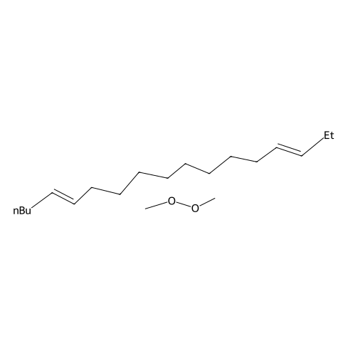 CC/C=C/CCCCCCCC/C=C/CCCC.COOC